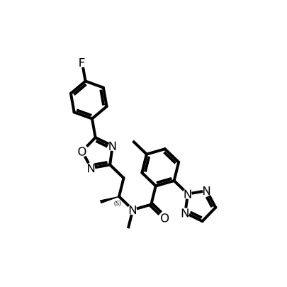 Cc1ccc(-n2nccn2)c(C(=O)N(C)[C@@H](C)Cc2noc(-c3ccc(F)cc3)n2)c1